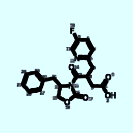 O=C(O)CC(Cc1ccc(F)cn1)C(=O)N1C(=O)OCC1Cc1ccccc1